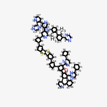 Cc1c(-c2cnccn2)cccc1-c1cccc(-n2c3cnc(-c4cccc(-c5ccc6c(c5)C5Sc7ccc(-c8cccc(-c9cc(-c%10nccc(-c%11ccccc%11)n%10)c%10oc%11c(-c%12nccc(-c%13ccccc%13)n%12)cc(-c%12cccnc%12-c%12ccccc%12)cc%11c%10c9)c8)cc7C5S6)c4)cc3c3cc(-c4cccnc4-c4cnccn4)ncc32)c1C